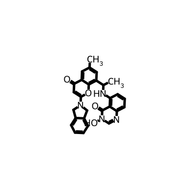 Cc1cc(C(C)Nc2cccc3ncn(O)c(=O)c23)c2oc(N3Cc4ccccc4C3)cc(=O)c2c1